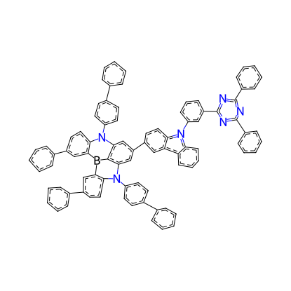 c1ccc(-c2ccc(N3c4ccc(-c5ccccc5)cc4B4c5cc(-c6ccccc6)ccc5N(c5ccc(-c6ccccc6)cc5)c5cc(-c6ccc7c(c6)c6ccccc6n7-c6cccc(-c7nc(-c8ccccc8)nc(-c8ccccc8)n7)c6)cc3c54)cc2)cc1